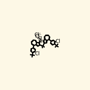 CCc1cc2c(-c3ccc(C(C)(C)C)c(Cl)c3)ccccc-2[c]1[Zr+2]([c]1c(CC)cc2c(-c3ccc(C(C)(C)C)c(Cl)c3)ccccc1-2)=[Si](C)C.[Cl-].[Cl-]